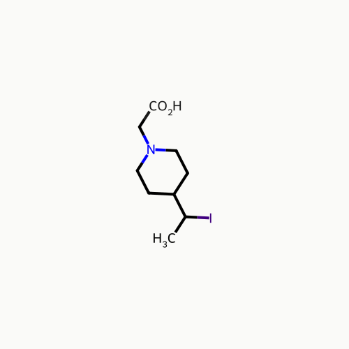 CC(I)C1CCN(CC(=O)O)CC1